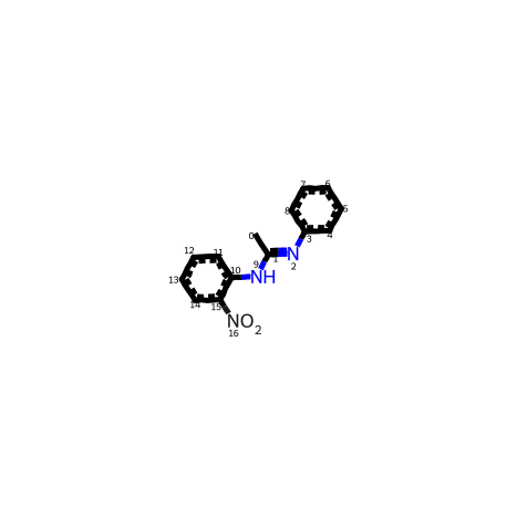 C/C(=N\c1ccccc1)Nc1ccccc1[N+](=O)[O-]